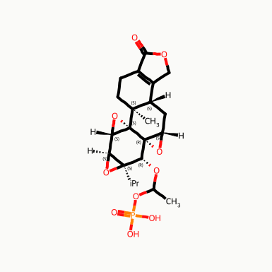 CC(O[C@@H]1[C@@]2(C(C)C)O[C@H]2[C@@H]2O[C@]23[C@]12O[C@H]2C[C@H]1C2=C(CC[C@@]13C)C(=O)OC2)OP(=O)(O)O